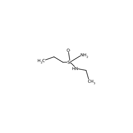 CCC[Si](N)([O])NCC